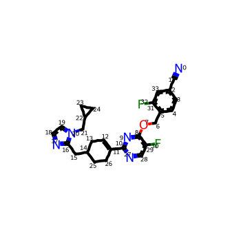 N#Cc1ccc(COc2nc(C3=CCC(Cc4nccn4CC4CC4)CC3)ncc2F)c(F)c1